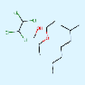 CCCCCC(C)C.CCOCC.CO.ClC(Cl)C(Cl)Cl